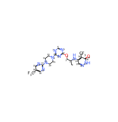 CC(COc1ncnc(N2CCN(c3ncc(C(F)(F)F)cn3)CC2)n1)Nc1cn[nH]c(=O)c1C(F)(F)F